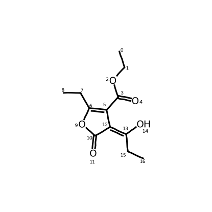 CCOC(=O)C1=C(CC)OC(=O)C1=C(O)CC